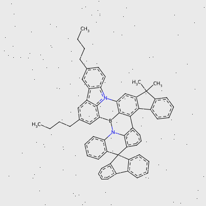 CCCCc1ccc2c(c1)c1cc(CCCC)cc3c1n2-c1cc2c(c4c1B3N1c3ccccc3C3(c5ccccc5-c5ccccc53)c3cccc-4c31)-c1ccccc1C2(C)C